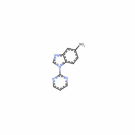 O=[N+]([O-])c1ccc2c(c1)ncn2-c1ncccn1